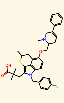 CC1Cc2c(OCC3CC=C(c4ccccc4)CN3C)ccc3c2c(c(CC(C)(C)C(=O)O)n3Cc2ccc(Cl)cc2)S1